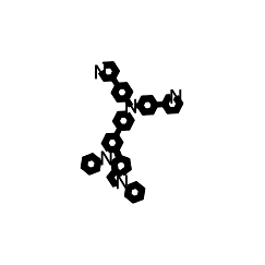 c1ccc(-n2ccc3c2ccc2c4cc(-c5ccc(N(c6ccc(-c7cccnc7)cc6)c6ccc(-c7cccnc7)cc6)cc5)ccc4n(-c4ccccc4)c23)cc1